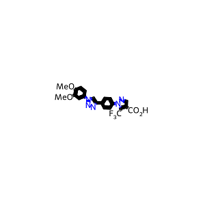 COc1ccc(-n2cc(-c3ccc(-n4ncc(C(=O)O)c4C(F)(F)F)cc3)nn2)cc1OC